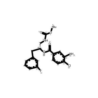 CC(C)(C)OC(=O)NC[C@@H](Cc1cccc(F)c1)NC(=O)c1ccc(Cl)c(N)c1